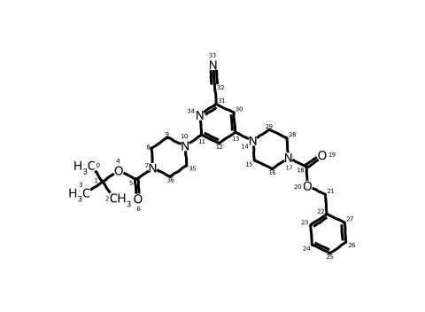 CC(C)(C)OC(=O)N1CCN(c2cc(N3CCN(C(=O)OCc4ccccc4)CC3)cc(C#N)n2)CC1